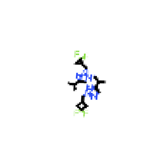 CC(C)c1c[n+](CC(C)c2cnn(CC3CC(F)(F)C3)n2)n(CC2CC2(F)F)n1